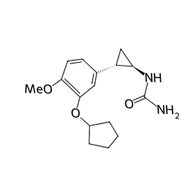 COc1ccc([C@@H]2C[C@H]2NC(N)=O)cc1OC1CCCC1